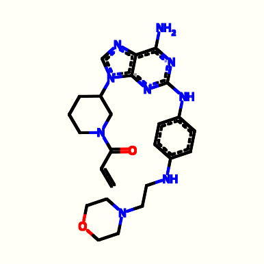 C=CC(=O)N1CCCC(n2cnc3c(N)nc(Nc4ccc(NCCN5CCOCC5)cc4)nc32)C1